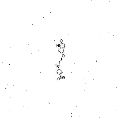 O=c1ccc2cc(OCCCC[S+]([O-])c3ccc([N+](=O)[O-])cc3)ccc2[nH]1